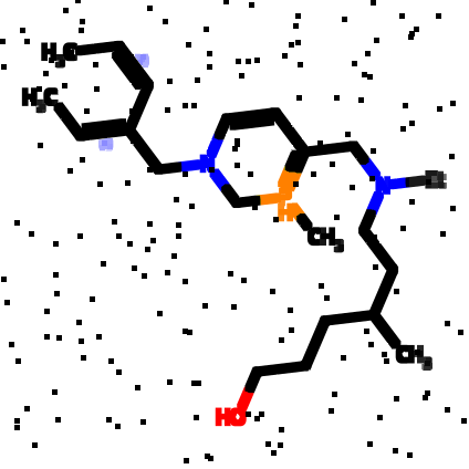 C/C=C\C(=C/C)CN1C=CC(CN(CC)CCC(C)CCCO)=[PH](C)C1